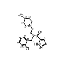 O=C(c1ccn[nH]1)N(CCN1CCC(O)CC1)Cc1ccccc1Cl